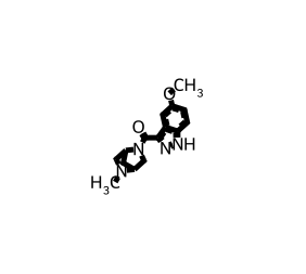 COc1ccc2[nH]nc(C(=O)N3CC4CC3CN4C)c2c1